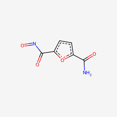 NC(=O)c1ccc(C(=O)N=O)o1